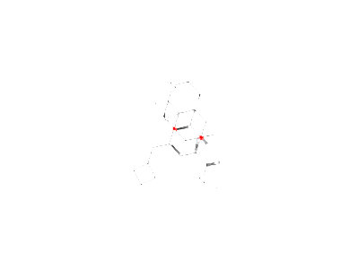 Cl.NC(=O)c1cc(CC2CCC2)c2c(c1O)[C@]13CCN[C@H](C2)[C@]1(O)CCC(=O)C3